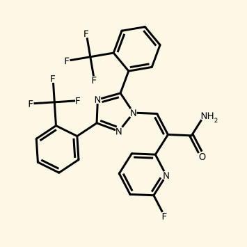 NC(=O)/C(=C/n1nc(-c2ccccc2C(F)(F)F)nc1-c1ccccc1C(F)(F)F)c1cccc(F)n1